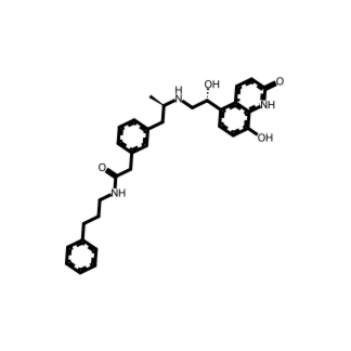 C[C@H](Cc1cccc(CC(=O)NCCCc2ccccc2)c1)NC[C@H](O)c1ccc(O)c2[nH]c(=O)ccc12